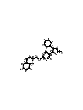 Cn1cc(-c2ccccc2)c(-c2cnc(OCc3ccc4ccccc4n3)nc2)n1